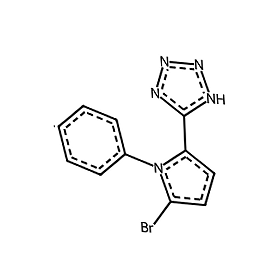 Brc1ccc(-c2nnn[nH]2)n1-c1cc[c]cc1